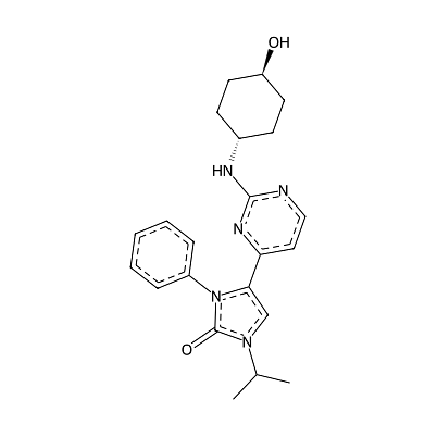 CC(C)n1cc(-c2ccnc(N[C@H]3CC[C@H](O)CC3)n2)n(-c2ccccc2)c1=O